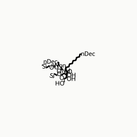 CCCCCCCCCCCCCCCCCC[C@H](CCCCCCCCC)CC(=O)[C@]1(O)[C@H](O)[C@@H](CO)O[C@H](OCC[Si](C)(C)C)[C@H]1NC(=O)C[C@@H](CCCCCCCCCCC)OCOCC[Si](C)(C)C